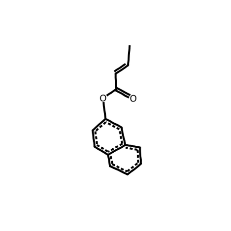 CC=CC(=O)Oc1ccc2ccccc2c1